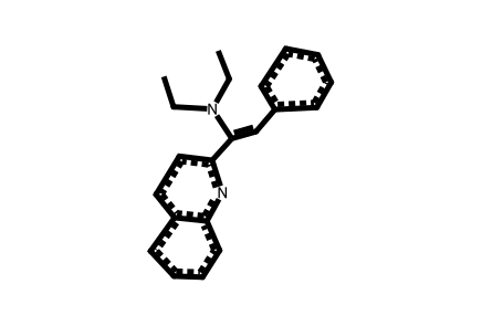 CCN(CC)C(=Cc1ccccc1)c1ccc2ccccc2n1